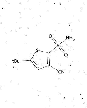 CC(C)(C)c1cc(C#N)c(S(N)(=O)=O)s1